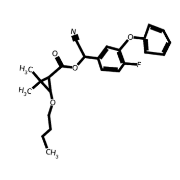 CCCCOC1C(C(=O)OC(C#N)c2ccc(F)c(Oc3ccccc3)c2)C1(C)C